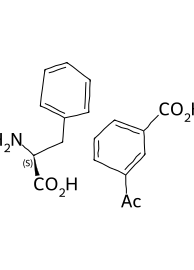 CC(=O)c1cccc(C(=O)O)c1.N[C@@H](Cc1ccccc1)C(=O)O